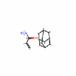 C1C2CC3CC1CC(C2)C3.C=CC(N)=O